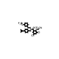 N#CCNc1c(Cl)cc(Cl)cc1C(=O)N(CCc1cccc(OC(F)(F)F)c1)Cc1ccc(C2CC2)cc1